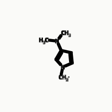 [CH2]n1ccc(N(C)C)c1